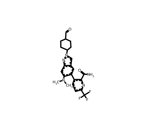 CN(C)c1cc2nn(C3CCC(C=O)CC3)cc2cc1-c1ccc(C(F)(F)F)nc1C(N)=O